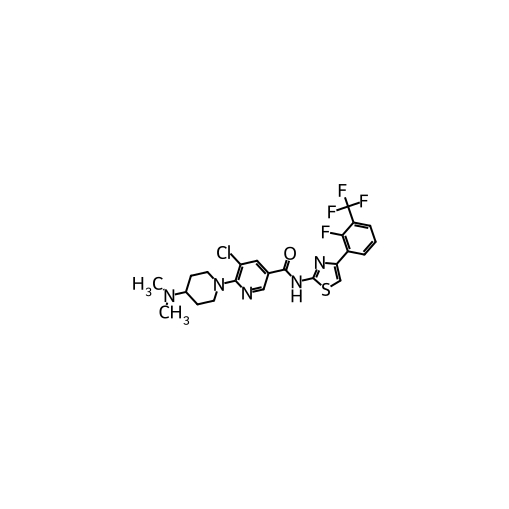 CN(C)C1CCN(c2ncc(C(=O)Nc3nc(-c4cccc(C(F)(F)F)c4F)cs3)cc2Cl)CC1